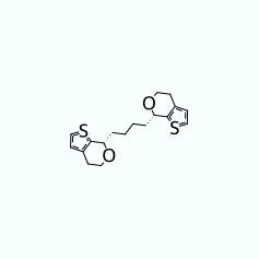 c1cc2c(s1)[C@H](CCCC[C@@H]1OCCc3ccsc31)OCC2